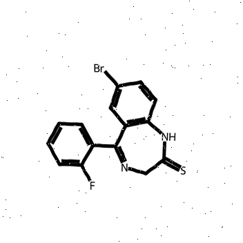 Fc1ccccc1C1=NCC(=S)Nc2ccc(Br)cc21